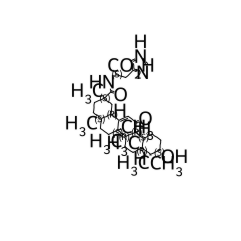 CC1(C)[C@@H](O)CC[C@]2(C)[C@H]3C(=O)C=C4[C@@H]5C[C@@](C)(C(=O)N[C@@H](Cc6c[nH]cn6)C(=O)O)CC[C@]5(C)CC[C@@]4(C)[C@]3(C)CC[C@@H]12